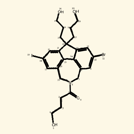 O=C(CCCO)N1Cc2cc(Br)cc3c2-c2c(cc(I)cc2C3(CCCO)CCCO)C1